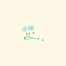 F.F.FCl